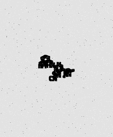 CCCc1c(C)cccc1CNc1ncc(-c2cc(C)nn2C)c2nc(C#N)cn12